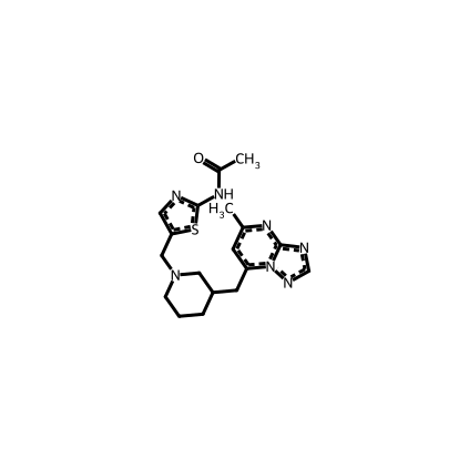 CC(=O)Nc1ncc(CN2CCCC(Cc3cc(C)nc4ncnn34)C2)s1